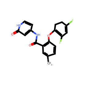 O=C(Nc1cc[nH]c(=O)c1)c1cc(C(F)(F)F)ccc1OC1=C(F)C=C(F)CC1